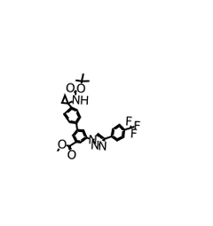 COC(=O)c1cc(-c2ccc(C3(NC(=O)OC(C)(C)C)CC3)cc2)cc(-n2cc(-c3ccc(C(F)(F)F)cc3)nn2)c1